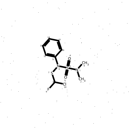 CN(C)S(=O)(=O)N(SC(F)Cl)c1ccccc1